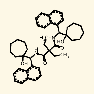 CCC(CC)(C(=O)NC(c1cccc2ccccc12)C1(O)CCCCCC1)C(=O)NC(c1cccc2ccccc12)C1(O)CCCCCC1